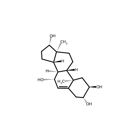 C[C@]12CC[C@H]3[C@@H]([C@@H](O)C=C4C[C@@H](O)[C@H](O)C[C@@]43C)[C@@H]1CC[C@@H]2O